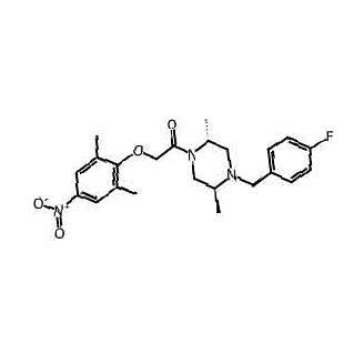 Cc1cc([N+](=O)[O-])cc(C)c1OCC(=O)N1C[C@H](C)N(Cc2ccc(F)cc2)C[C@H]1C